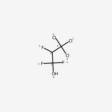 OC(F)(F)C(F)C(Cl)(Cl)Cl